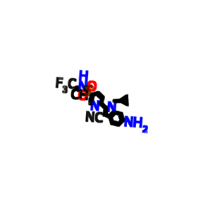 C[C@H](NS(=O)(=O)c1ccc(-c2c(C#N)c3ccc(N)cc3n2CC2CC2)nc1)C(F)(F)F